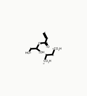 C=CC(=O)OC(O)CO.O=C(O)CCC(=O)O